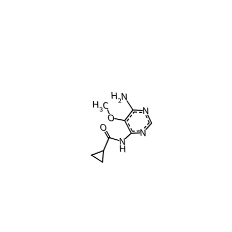 COc1c(N)ncnc1NC(=O)C1CC1